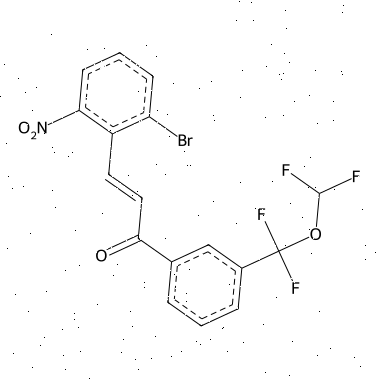 O=C(/C=C/c1c(Br)cccc1[N+](=O)[O-])c1cccc(C(F)(F)OC(F)F)c1